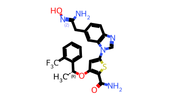 C[C@@H](Oc1cc(-n2cnc3ccc(C/C(N)=N/O)cc32)sc1C(N)=O)c1ccccc1C(F)(F)F